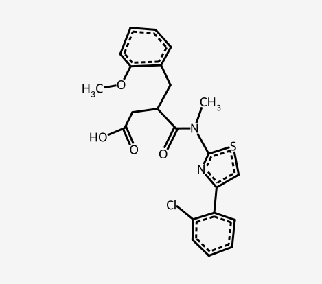 COc1ccccc1CC(CC(=O)O)C(=O)N(C)c1nc(-c2ccccc2Cl)cs1